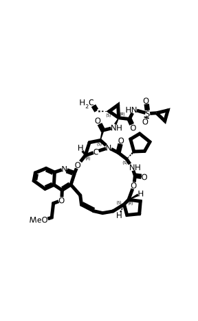 C=C[C@@H]1C[C@]1(NC(=O)[C@@H]1C[C@@H]2CN1C(=O)[C@H](C1CCCC1)NC(=O)O[C@@H]1CCC[C@H]1CCC=CCc1c(nc3ccccc3c1OCCOC)O2)C(=O)NS(=O)(=O)C1CC1